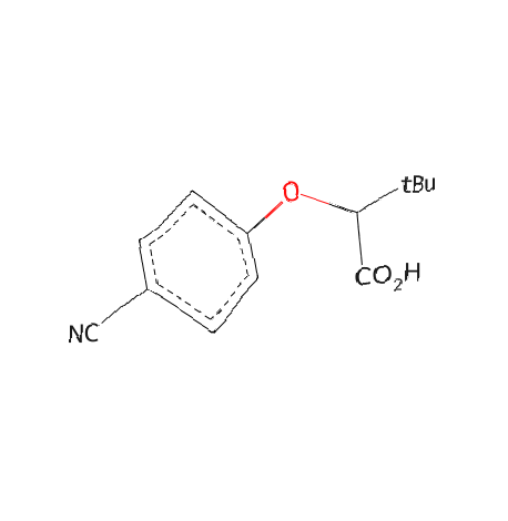 CC(C)(C)C(Oc1ccc(C#N)cc1)C(=O)O